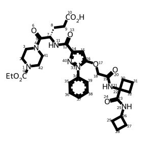 CCOC(=O)N1CCN(C(=O)[C@H](CCC(=O)O)NC(=O)c2cc(OCC(=O)NC3(C(=O)NC4CCC4)CCC3)n(-c3ccccc3)n2)CC1